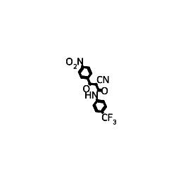 N#CC(C(=O)Nc1ccc(C(F)(F)F)cc1)C(=O)c1ccc([N+](=O)[O-])cc1